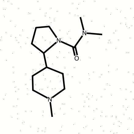 CN1CCC(C2CCCN2C(=O)N(C)C)CC1